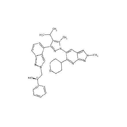 Cc1c(C(C)C)c(-c2cccc3nn(C[C@H](O)c4ccccc4)cc23)nn1-c1cc2cn(C)nc2nc1C1CCOCC1